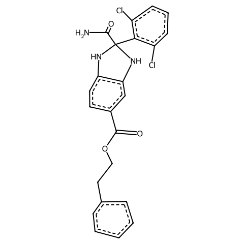 NC(=O)C1(c2c(Cl)cccc2Cl)Nc2ccc(C(=O)OCCc3ccccc3)cc2N1